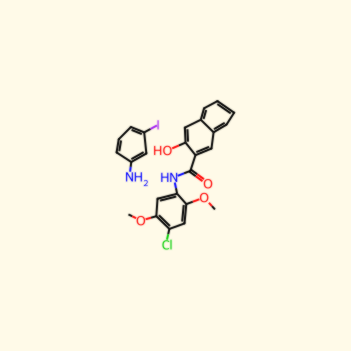 COc1cc(NC(=O)c2cc3ccccc3cc2O)c(OC)cc1Cl.Nc1cccc(I)c1